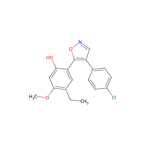 CCc1cc(-c2oncc2-c2ccc(Cl)cc2)c(O)cc1OC